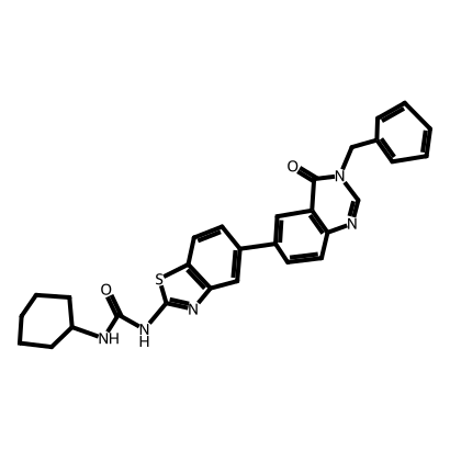 O=C(Nc1nc2cc(-c3ccc4ncn(Cc5ccccc5)c(=O)c4c3)ccc2s1)NC1CCCCC1